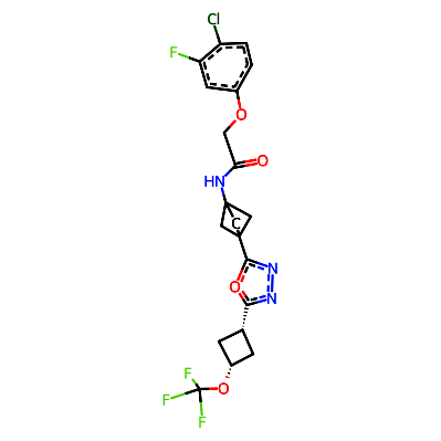 O=C(COc1ccc(Cl)c(F)c1)NC12CC(c3nnc([C@H]4C[C@@H](OC(F)(F)F)C4)o3)(C1)C2